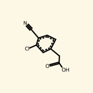 N#Cc1ccc(CC(=O)O)cc1Cl